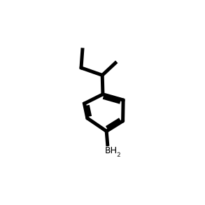 Bc1ccc(C(C)CC)cc1